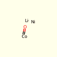 [Li].[Ni].[O]=[Co]